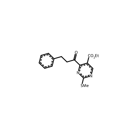 CCOC(=O)c1cnc(SC)nc1C(=O)CCc1ccccc1